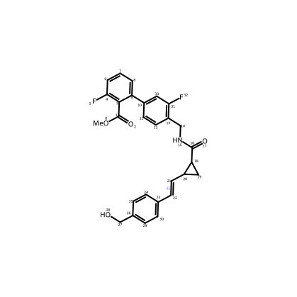 COC(=O)c1c(F)cccc1-c1ccc(CNC(=O)C2CC2/C=C/c2ccc(CO)cc2)c(F)c1